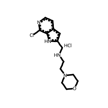 Cl.Clc1nccc2cc(CNCCN3CCOCC3)[nH]c12